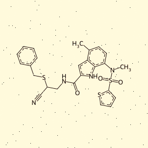 Cc1ccc(N(C)S(=O)(=O)c2cccs2)c2[nH]c(C(=O)NCC(C#N)SCc3ccccc3)cc12